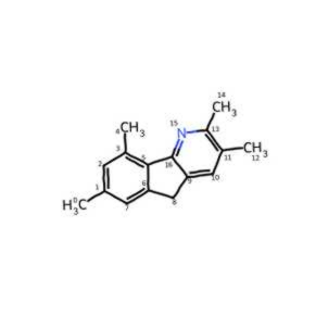 Cc1cc(C)c2c(c1)Cc1cc(C)c(C)nc1-2